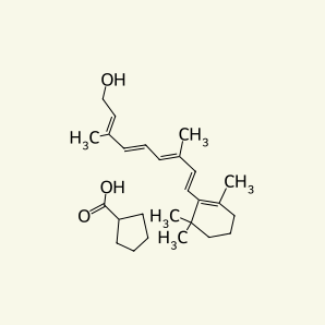 CC(C=CC1=C(C)CCCC1(C)C)=CC=CC(C)=CCO.O=C(O)C1CCCC1